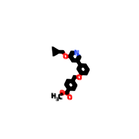 COC(=O)c1ccc(COc2cccc(-c3cncc(OCC4CC4)c3)c2)cc1